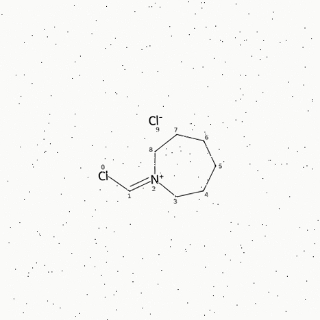 ClC=[N+]1CCCCCC1.[Cl-]